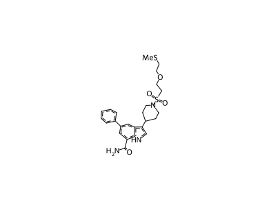 CSCCOCCS(=O)(=O)N1CCC(c2c[nH]c3c(C(N)=O)cc(-c4ccccc4)cc23)CC1